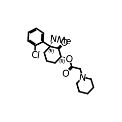 CN[C@@]1(c2ccccc2Cl)CCC[C@@H](OC(=O)CN2CCCCC2)C1=O